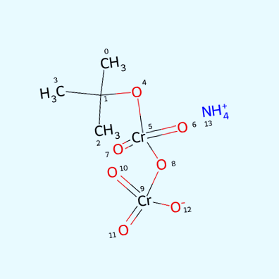 CC(C)(C)[O][Cr](=[O])(=[O])[O][Cr](=[O])(=[O])[O-].[NH4+]